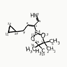 CC1(C)OB(/C(C=N)=C\CC2CC2)OC1(C)C